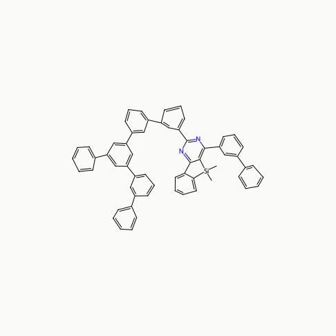 C[Si]1(C)c2ccccc2-c2nc(-c3cccc(-c4cccc(-c5cc(-c6ccccc6)cc(-c6cccc(-c7ccccc7)c6)c5)c4)c3)nc(-c3cccc(-c4ccccc4)c3)c21